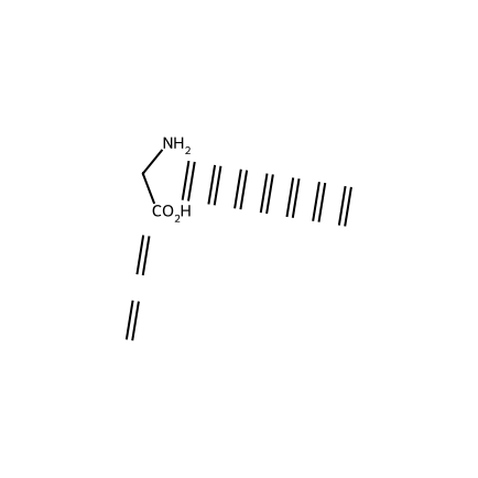 C=C.C=C.C=C.C=C.C=C.C=C.C=C.C=C.C=C.NCC(=O)O